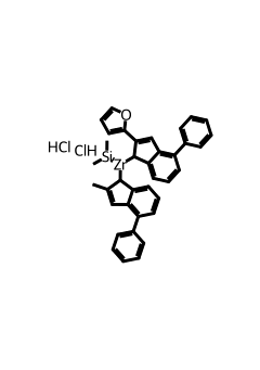 CC1=Cc2c(-c3ccccc3)cccc2[CH]1[Zr]([CH]1C(c2ccco2)=Cc2c(-c3ccccc3)cccc21)=[Si](C)C.Cl.Cl